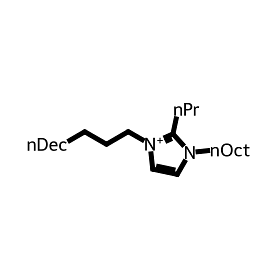 CCCCCCCCCCCCC[n+]1ccn(CCCCCCCC)c1CCC